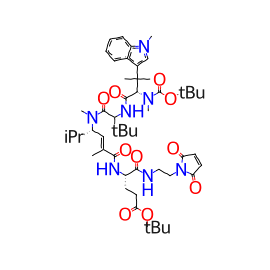 C/C(=C\[C@H](C(C)C)N(C)C(=O)C(NC(=O)[C@@H](N(C)C(=O)OC(C)(C)C)C(C)(C)c1cn(C)c2ccccc12)C(C)(C)C)C(=O)N[C@@H](CCC(=O)OC(C)(C)C)C(=O)NCCN1C(=O)C=CC1=O